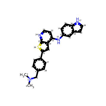 CN(C)Cc1ccc(-c2cc3c(Nc4ccc5[nH]ccc5c4)ccnc3s2)cc1